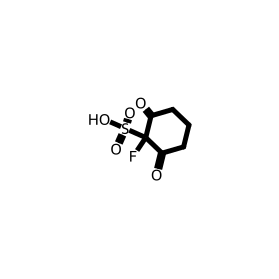 O=C1CCCC(=O)C1(F)S(=O)(=O)O